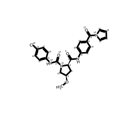 CO[C@@H]1C[C@H](C(=O)Nc2ccc(C(=O)n3cccc3)cc2)N(C(=O)Nc2ccc(Cl)cc2)C1